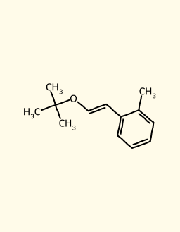 Cc1ccccc1C=COC(C)(C)C